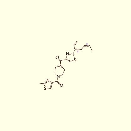 C=C/C(=C\C=C/C)c1nc(C(=O)N2CCN(C(=O)c3csc(C)n3)CC2)cs1